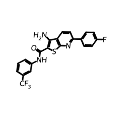 Nc1c(C(=O)Nc2cccc(C(F)(F)F)c2)sc2nc(-c3ccc(F)cc3)ccc12